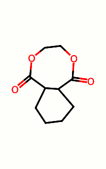 O=C1OCCOC(=O)C2CCCCC12